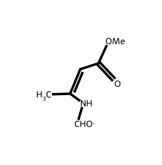 COC(=O)C=C(C)N[C]=O